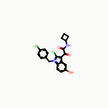 O=C(NC1CCC1)C(=O)c1c(Cl)n(Cc2ccc(Cl)cc2)c2ccc(O)cc12